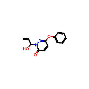 C=CC(O)n1nc(Oc2ccccc2)ccc1=O